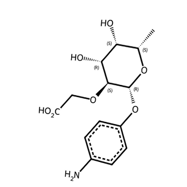 C[C@@H]1O[C@H](Oc2ccc(N)cc2)[C@@H](OCC(=O)O)[C@H](O)[C@@H]1O